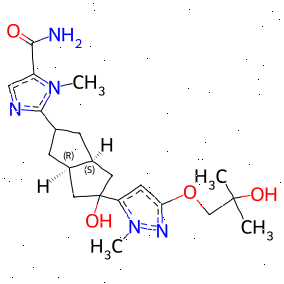 Cn1nc(OCC(C)(C)O)cc1C1(O)C[C@H]2CC(c3ncc(C(N)=O)n3C)C[C@H]2C1